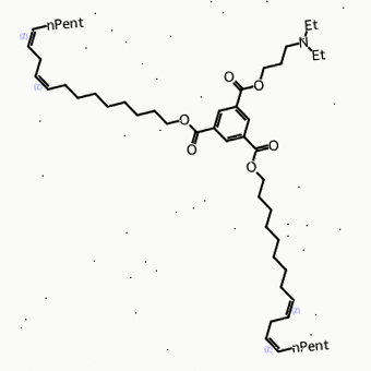 CCCCC/C=C\C/C=C\CCCCCCCCOC(=O)c1cc(C(=O)OCCCCCCCC/C=C\C/C=C\CCCCC)cc(C(=O)OCCCN(CC)CC)c1